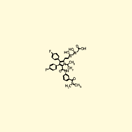 CC(C)n1c(C=C[C@@H](O)C[C@@H](O)CC(=O)O)c(-c2ccc(F)cc2)c(-c2ccc(F)cc2)c1C(=O)Nc1cccc(C(=O)N(C)C)c1